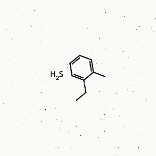 CCc1ccccc1C.S